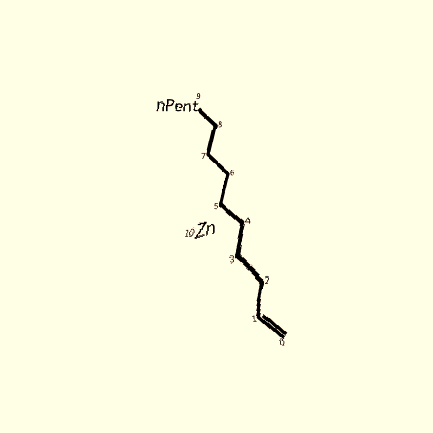 C=CCCCCCCCCCCCC.[Zn]